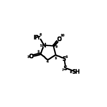 CC(C)N1C(=O)CC(SSS)C1=O